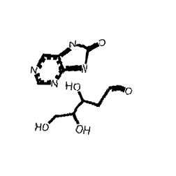 O=C1N=c2cncnc2=N1.O=CCC(O)C(O)CO